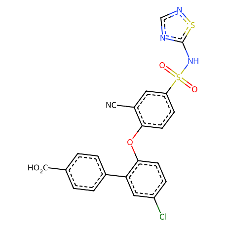 N#Cc1cc(S(=O)(=O)Nc2ncns2)ccc1Oc1ccc(Cl)cc1-c1ccc(C(=O)O)cc1